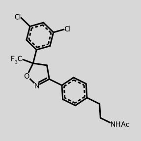 CC(=O)NCCc1ccc(C2=NOC(c3cc(Cl)cc(Cl)c3)(C(F)(F)F)C2)cc1